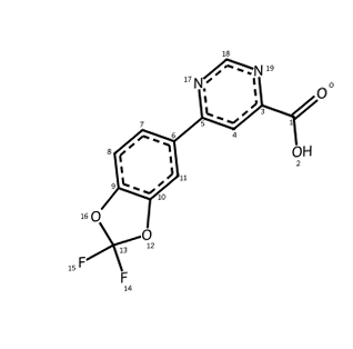 O=C(O)c1cc(-c2ccc3c(c2)OC(F)(F)O3)ncn1